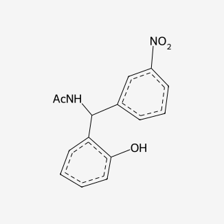 CC(=O)NC(c1cccc([N+](=O)[O-])c1)c1ccccc1O